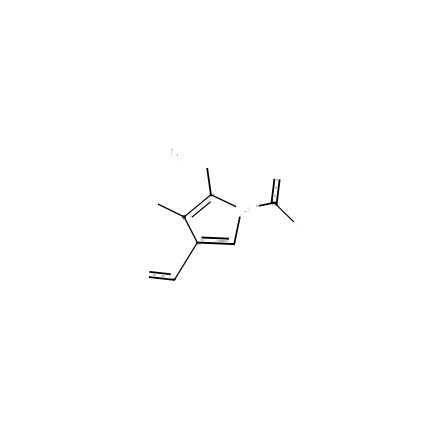 C=CC1=C[SiH](C(=O)[O-])C(C)=C1C.[Na+]